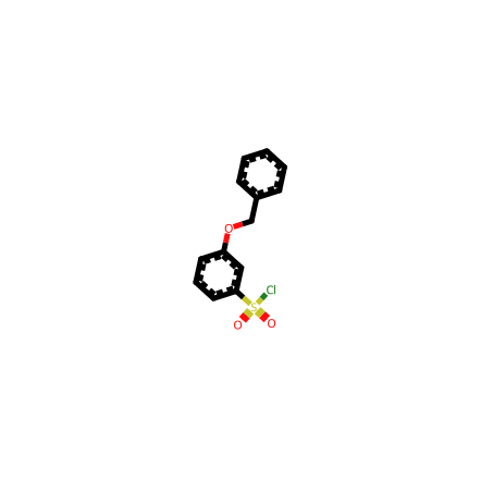 O=S(=O)(Cl)c1cccc(OCc2ccccc2)c1